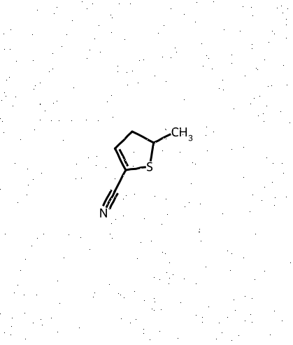 CC1CC=C(C#N)S1